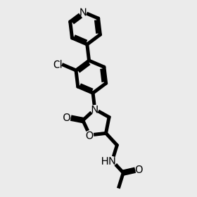 CC(=O)NCC1CN(c2ccc(-c3ccncc3)c(Cl)c2)C(=O)O1